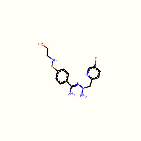 N/C(=N\N(N)Cc1ccc(F)cn1)c1ccc(SNCCO)cc1